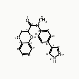 CN(C(=O)C1COc2ccccc2O1)c1ccc(-c2cn[nH]c2)cc1